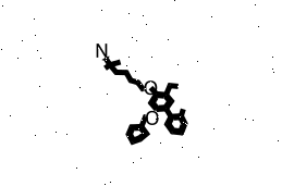 CCc1cc(-c2ccccc2C)c(OCc2ccccc2)cc1OCCCCCC(C)(C)C#N